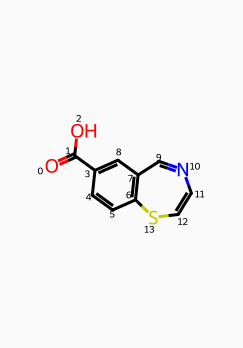 O=C(O)c1ccc2c(c1)C=NC=CS2